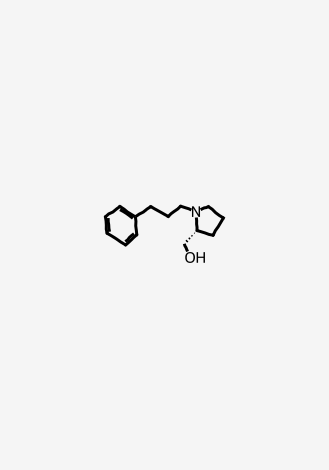 OC[C@H]1CCCN1CCCc1ccccc1